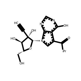 C#C[C@]1(O)[C@H](O)[C@@H](CO)O[C@H]1n1cc(C(=O)C(C)C)c2c(O)ncnc21